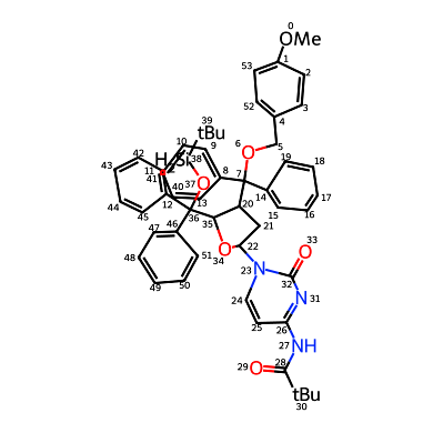 COc1ccc(COC(c2ccccc2)(c2ccccc2)C2CC(n3ccc(NC(=O)C(C)(C)C)nc3=O)OC2C(O[SiH2]C(C)(C)C)(c2ccccc2)c2ccccc2)cc1